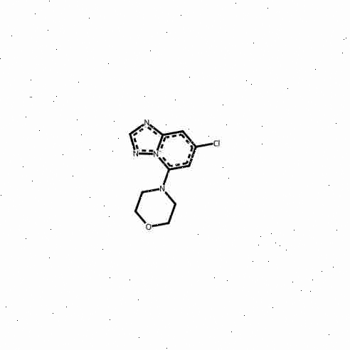 Clc1cc(N2CCOCC2)n2ncnc2c1